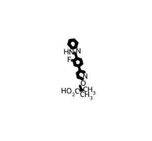 CC(C)(COc1ccc(-c2ccc(-c3nc4ccccc4[nH]3)c(F)c2)cn1)C(=O)O